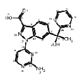 CC(O)(c1ccc2c(C(=O)O)nn(-c3ccnc(N)n3)c2c1)c1ncccn1